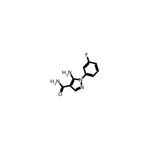 NC(=O)c1cnn(-c2cccc(F)c2)c1N